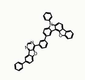 c1ccc(-c2ccc3oc4c(-c5cccc(-c6ccc7c(c6)c6c8oc9ccccc9c8ccc6n7-c6ccccc6)c5)ncnc4c3c2)cc1